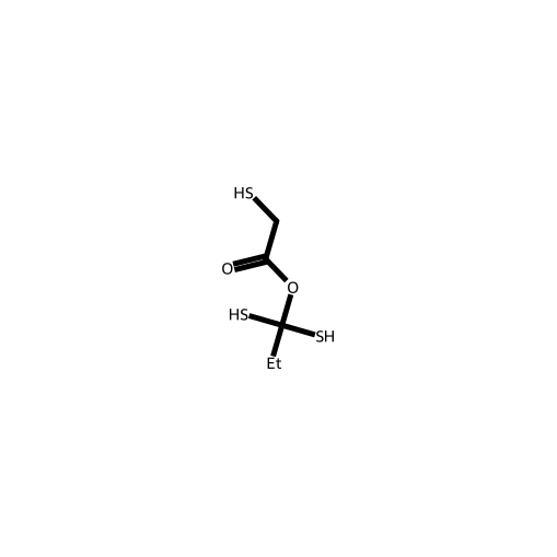 CCC(S)(S)OC(=O)CS